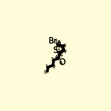 CCCCC(=O)c1ccc(Br)s1